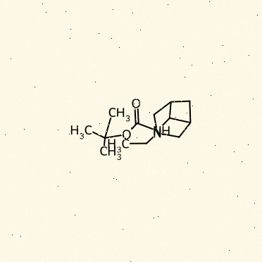 CCN1CC2CC(C1)C2NC(=O)OC(C)(C)C